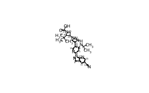 CC(C)Nc1cc(-n2ncc3cc(C#N)cnc32)ncc1-c1cn(C2CN(C(=O)O)C2C(C)(C)C)nn1